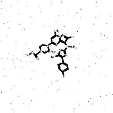 CCc1nn2c(C)cc(N3CCN(C(=O)OC(C)(C)C)C[C@H]3C)nc2c1N(C)c1nc(-c2ccc(F)cc2)c(C#N)s1